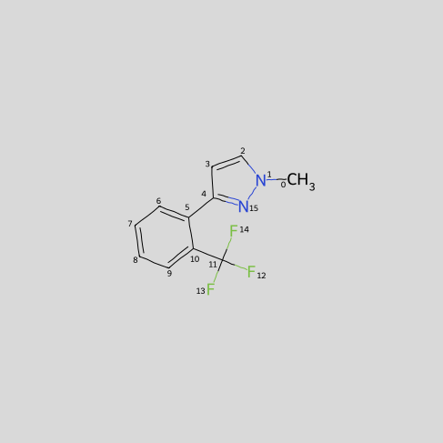 Cn1ccc(-c2ccccc2C(F)(F)F)n1